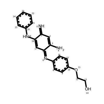 N=C1C=C(N)/C(=N\c2ccc(OCCO)cc2)C=C1Nc1ccccc1